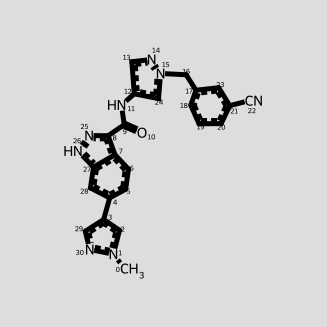 Cn1cc(-c2ccc3c(C(=O)Nc4cnn(Cc5cccc(C#N)c5)c4)n[nH]c3c2)cn1